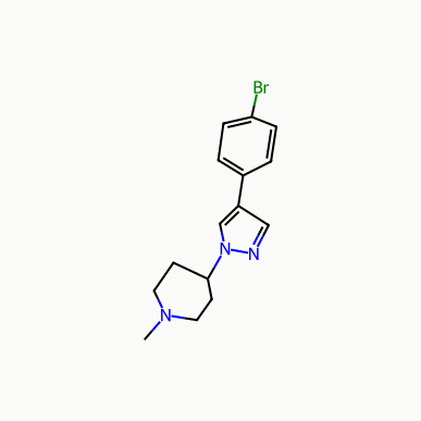 CN1CCC(n2cc(-c3ccc(Br)cc3)cn2)CC1